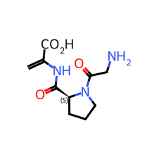 C=C(NC(=O)[C@@H]1CCCN1C(=O)CN)C(=O)O